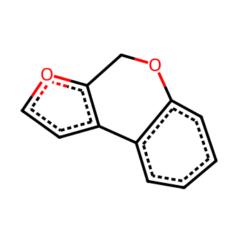 c1ccc2c(c1)OCc1occc1-2